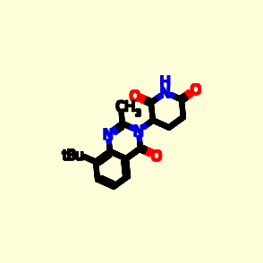 Cc1nc2c(C(C)(C)C)cccc2c(=O)n1C1CCC(=O)NC1=O